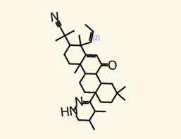 C/C=C\C1(C)C2=CC(=O)C3C(CCC4(C5=NNCC(C)C5C)CCC(C)(C)CC34)C2(C)CCC1C(C)(C)C#N